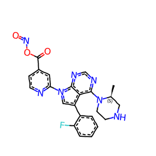 C[C@H]1CNCCN1c1ncnc2c1c(-c1ccccc1F)cn2-c1cc(C(=O)ON=O)ccn1